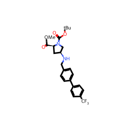 COC(=O)[C@@H]1C[C@H](NCc2ccc(-c3ccc(C(F)(F)F)cc3)cc2)CN1C(=O)OC(C)(C)C